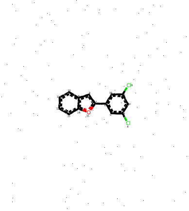 Clc1cc(Cl)cc(-c2cc3ccccc3o2)c1